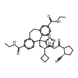 CCNC(=O)c1ccc2c(c1)CCc1cc(C(=O)NCC)ccc1C2(C[C@@H](NCC(=O)N1CCC[C@H]1C#N)C1CCC1)c1nnn[nH]1